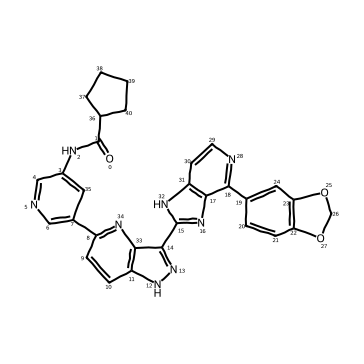 O=C(Nc1cncc(-c2ccc3[nH]nc(-c4nc5c(-c6ccc7c(c6)OCO7)nccc5[nH]4)c3n2)c1)C1CCCC1